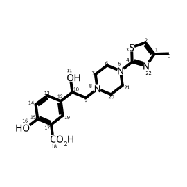 Cc1csc(N2CCN(CC(O)c3ccc(O)c(C(=O)O)c3)CC2)n1